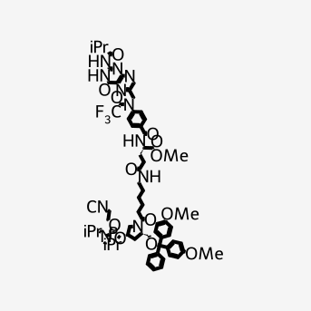 [C-]#[N+]CCOP(O[C@@H]1C[C@@H](COC(c2ccccc2)(c2ccc(OC)cc2)c2ccc(OC)cc2)N(C(=O)CCCCCNC(=O)CC[C@H](NC(=O)c2ccc(N(Cc3cnc4nc(NC(=O)C(C)C)[nH]c(=O)c4n3)C(=O)C(F)(F)F)cc2)C(=O)OC)C1)N(C(C)C)C(C)C